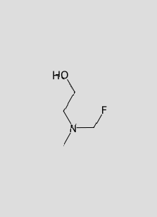 CN(CF)CCO